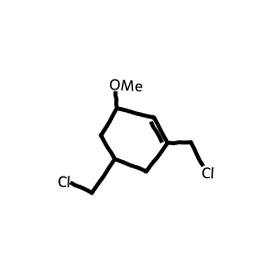 COC1C=C(CCl)CC(CCl)C1